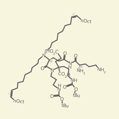 CCCCCCCC/C=C\CCCCCCCCN(CCCCCCCC/C=C\CCCCCCCC)[C@@H](CCC(=O)NC(=O)[C@@H](N)CCCN)C(=O)N(CCCNC(=O)OC(C)(C)C)[C@@](CCCNC(=O)OC(C)(C)C)(CCC(=O)O)C(=O)O